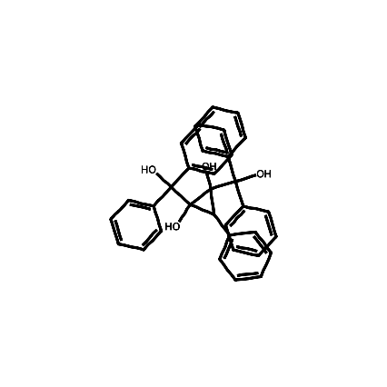 OC(c1ccccc1)(c1ccccc1)C1(O)C(c2ccccc2)C1(O)C(O)(c1ccccc1)c1ccccc1